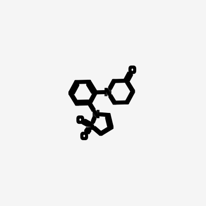 O=C1CCCN(c2ccccc2N2C=CCS2(=O)=O)C1